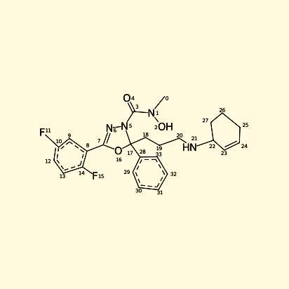 CN(O)C(=O)N1N=C(c2cc(F)ccc2F)OC1(CCCNC1C=CCCC1)c1ccccc1